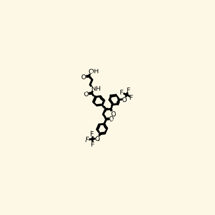 O=C(O)CCNC(=O)c1ccc(C(CC(=O)c2ccc(OC(F)(F)F)cc2)C(=O)c2cccc(OC(F)(F)F)c2)cc1